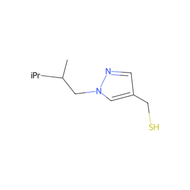 CC(C)C(C)Cn1cc(CS)cn1